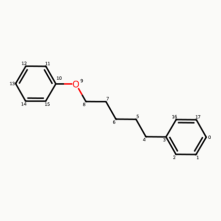 c1ccc(CCCCCOc2ccccc2)cc1